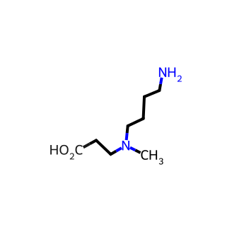 CN(CCCCN)CCC(=O)O